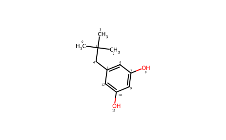 CC(C)(C)Cc1cc(O)cc(O)c1